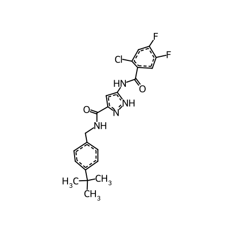 CC(C)(C)c1ccc(CNC(=O)c2cc(NC(=O)c3cc(F)c(F)cc3Cl)[nH]n2)cc1